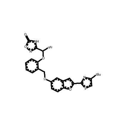 CCCC(Oc1ccccc1COc1ccc2oc(-c3nc(C(C)(C)C)cs3)cc2c1)c1noc(=O)[nH]1